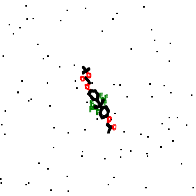 CC(=O)COC1CCC(C(C2CCC(OCC(=O)OC(C)(C)C)CC2)(C(F)(F)F)C(F)(F)F)CC1